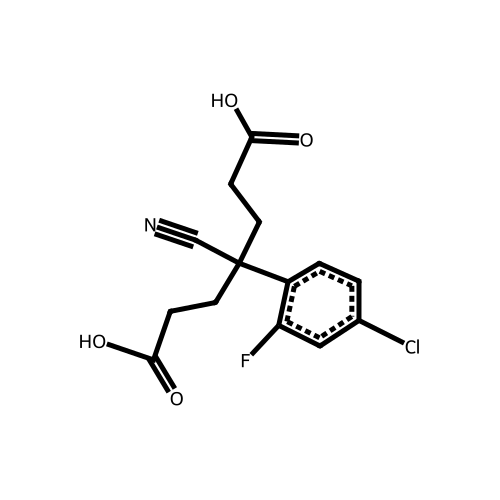 N#CC(CCC(=O)O)(CCC(=O)O)c1ccc(Cl)cc1F